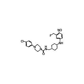 O=Nc1ccc(NC2CCC(CNC(=O)N3CCN(c4ccc(Cl)cc4)CC3)CC2)cc1CF